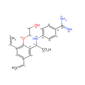 C=Cc1cc(C=C)c(OCCO)c(C(Nc2ccc(C(=N)N)cc2)C(=O)O)c1